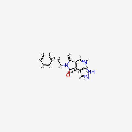 C=C1c2cnc3[nH]ncc3c2C(=O)N1CCc1ccccc1